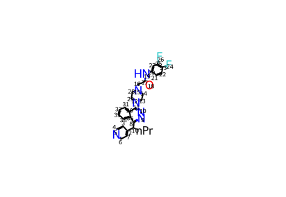 CCCC(c1ccncc1)c1nnc(N2CCN(CC(=O)Nc3ccc(F)c(F)c3)CC2)c2ccccc12